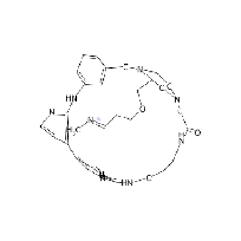 C/N=C/CCOCC1CN2CCN1Cc1cccc(c1)Nc1cc(ccn1)-c1cnc(nc1)NCCCNC(=O)C2